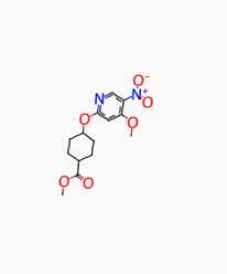 COC(=O)C1CCC(Oc2cc(OC)c([N+](=O)[O-])cn2)CC1